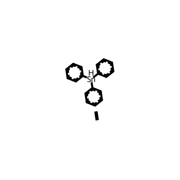 C=C.c1cc[c]([SnH]([c]2ccccc2)[c]2ccccc2)cc1